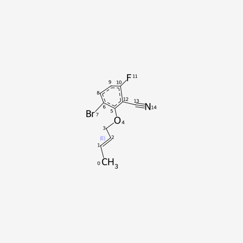 C/C=C/COc1c(Br)ccc(F)c1C#N